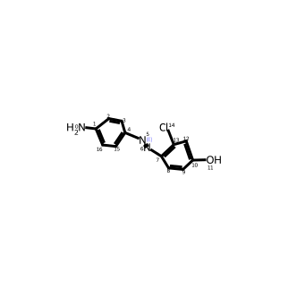 Nc1ccc(/N=N/c2ccc(O)cc2Cl)cc1